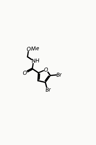 COCNC(=O)c1cc(Br)c(Br)o1